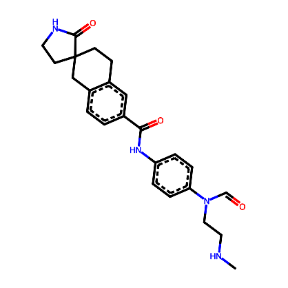 CNCCN(C=O)c1ccc(NC(=O)c2ccc3c(c2)CCC2(CCNC2=O)C3)cc1